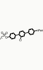 CCCCCc1ccc(-c2ccc(-c3ccc(OS(=O)(=O)C(F)(F)F)cc3)c(Cl)c2)cc1